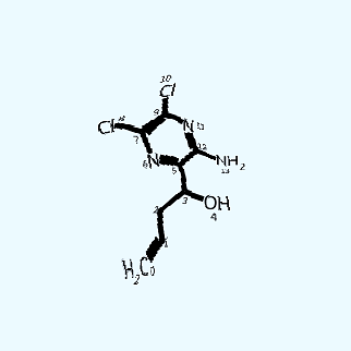 C=CCC(O)c1nc(Cl)c(Cl)nc1N